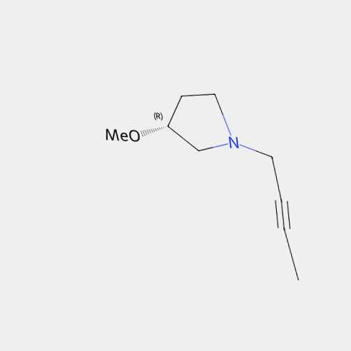 CC#CCN1CC[C@@H](OC)C1